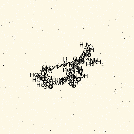 COc1cccc2c1C(=O)c1c(O)c3c(c(O)c1C2=O)C[C@@](O)(C(=O)CO)C[C@@H]3OC1C[C@H](NC(=O)OCCSSCCC(=O)NCCCC[C@@H](NC(=O)[C@H](Cc2ccc(O)cc2)NC(=O)[C@H](CO)NC(=O)[C@H](Cc2c[nH]c3ccccc23)NC(=O)[C@H](Cc2c[nH]cn2)NC(=O)[C@@H]2CCC(=O)N2)C(=O)N[C@H]2CC(C)N([C@@H](CCCNC(=N)N)C(=O)N3CCC[C@H]3C(=O)NCC(N)=O)C2=O)[C@H](O)[C@H](C)O1